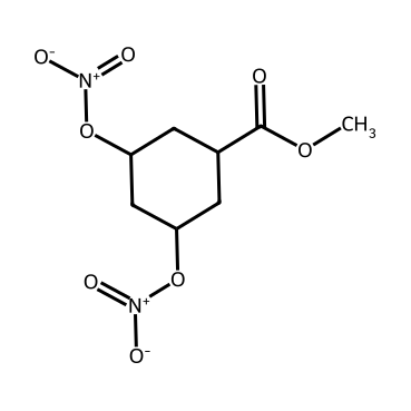 COC(=O)C1CC(O[N+](=O)[O-])CC(O[N+](=O)[O-])C1